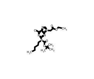 CCCCCN(C(=O)OC(C)(C)C)c1nc(Cl)c2ncn(CC(=O)OCC)c2n1